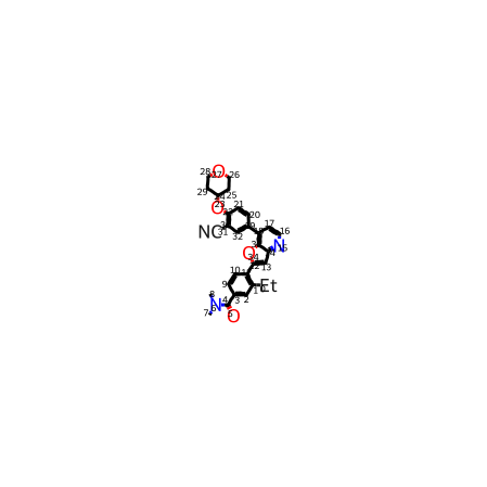 CCc1cc(C(=O)N(C)C)ccc1-c1cc2nccc(-c3ccc(OC4CCOCC4)c(C#N)c3)c2o1